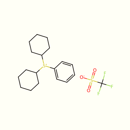 O=S(=O)([O-])C(F)(F)F.c1ccc([S+](C2CCCCC2)C2CCCCC2)cc1